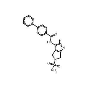 NS(=O)(=O)N1Cc2n[nH]c(NC(=O)c3ccc(-c4ccccc4)cc3)c2C1